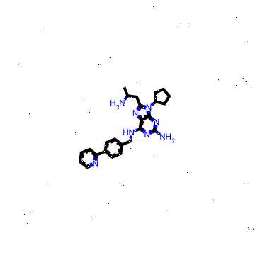 CC(N)Cc1nc2c(NCc3ccc(-c4ccccn4)cc3)nc(N)nc2n1C1CCCC1